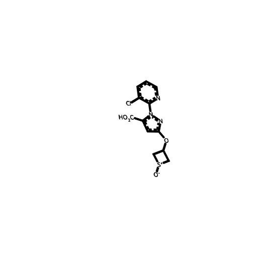 O=C(O)c1cc(OC2C[S+]([O-])C2)nn1-c1ncccc1Cl